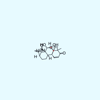 C=C1C(=O)[C@]23[C@H](O)[C@H]1CC[C@H]2[C@]12C=CC(=O)C(C)(C)[C@H]1[C@H](O)[C@]3(O)OC2